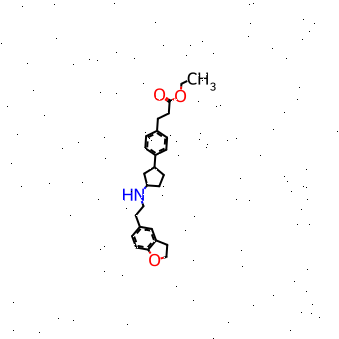 CCOC(=O)CCc1ccc(C2CCC(NCCc3ccc4c(c3)CCO4)C2)cc1